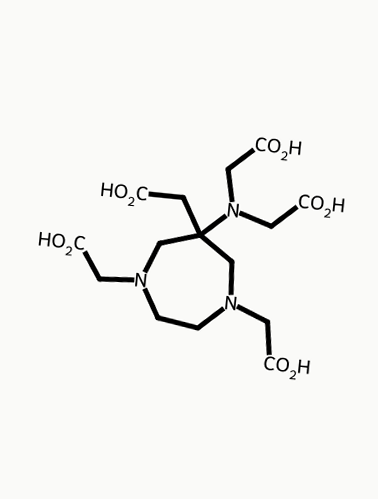 O=C(O)CN1CCN(CC(=O)O)CC(CC(=O)O)(N(CC(=O)O)CC(=O)O)C1